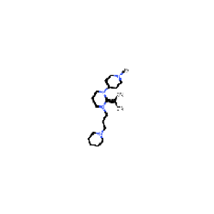 CC(C)N1CCC(N2CCCN(CCCN3CCCCC3)C2=C(C#N)C#N)CC1